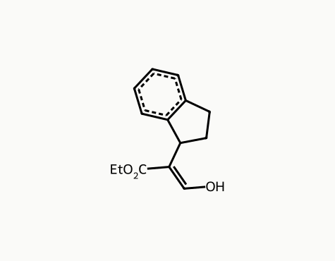 CCOC(=O)/C(=C/O)C1CCc2ccccc21